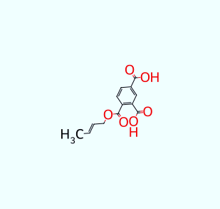 CC=CCOC(=O)c1ccc(C(=O)O)cc1C(=O)O